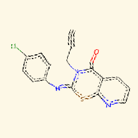 C#CCn1c(=Nc2ccc(Cl)cc2)sc2ncccc2c1=O